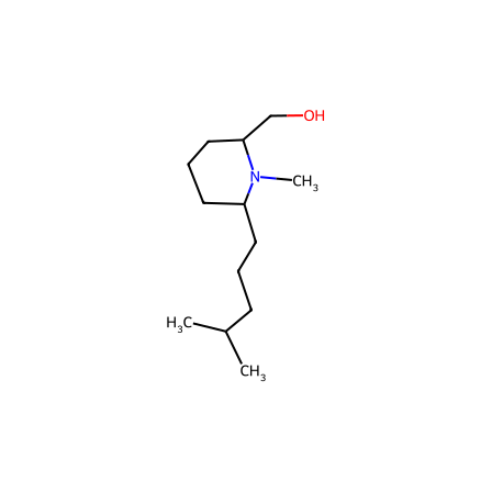 CC(C)CCCC1CCCC(CO)N1C